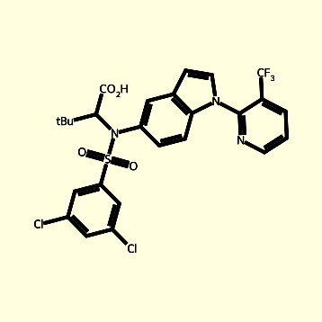 CC(C)(C)C(C(=O)O)N(c1ccc2c(ccn2-c2ncccc2C(F)(F)F)c1)S(=O)(=O)c1cc(Cl)cc(Cl)c1